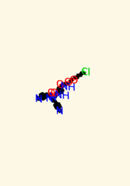 CN(C)c1ccc(/C=C2N=C(/C=C/c3ccc(N(C)C)cc3)N(CC(=O)NC3CCC(C(=O)NCCOCCOCCCCCCCl)CC3)C\2=O)cc1